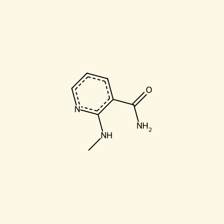 CNc1ncccc1C(N)=O